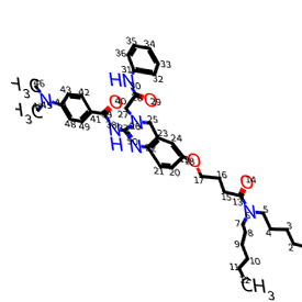 CCCCCCN(CCCCCC)C(=O)CCCOc1ccc2c(c1)CN(CC(=O)Nc1ccccc1)C(NC(=O)c1ccc(N(C)C)cc1)=N2